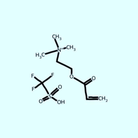 C=CC(=O)OCC[N+](C)(C)C.O=S(=O)(O)C(F)(F)F